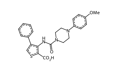 COc1ccc(N2CCN(C(=O)Nc3c(-c4ccccc4)csc3C(=O)O)CC2)cc1